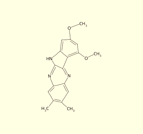 COc1cc(OC)c2c(c1)[nH]c1nc3cc(C)c(C)cc3nc12